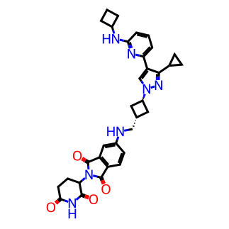 O=C1CCC(N2C(=O)c3ccc(NC[C@H]4C[C@H](n5cc(-c6cccc(NC7CCC7)n6)c(C6CC6)n5)C4)cc3C2=O)C(=O)N1